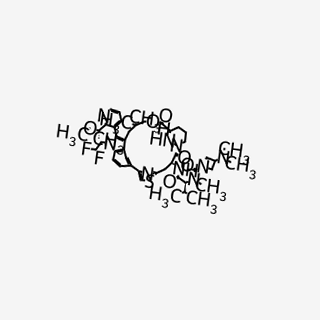 CO[C@@H](C)c1ncccc1-c1c2c3cc(ccc3n1CC(F)F)-c1csc(n1)C[C@H](NC(=O)[C@H](C(C)C)N(C)C(=O)N1CC(N(C)C)C1)C(=O)N1CCC[C@H](N1)C(=O)OCC(C)(C)C2